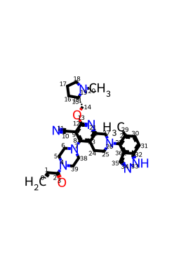 C=CC(=O)N1CCN(c2c(C#N)c(OC[C@@H]3CCCN3C)nc3c2CCN(c2c(C)ccc4[nH]ncc24)C3)CC1